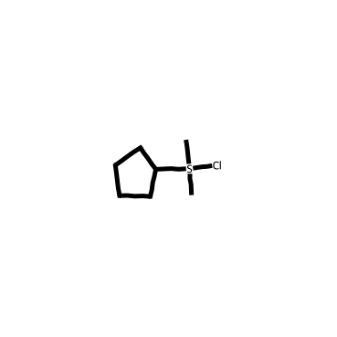 CS(C)(Cl)C1CCCC1